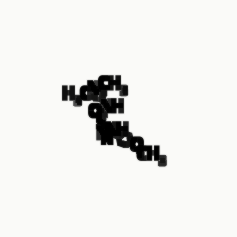 CCOc1ccc(-c2nnc(SCC(=O)Nc3cc(C)nc(C)c3)[nH]2)cc1